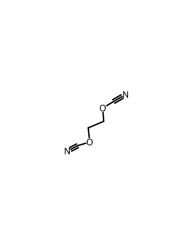 N#COCCOC#N